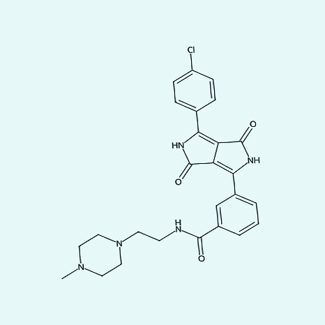 CN1CCN(CCNC(=O)c2cccc(C3=C4C(=O)NC(c5ccc(Cl)cc5)=C4C(=O)N3)c2)CC1